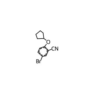 N#Cc1cc(Br)ccc1OC1CCCC1